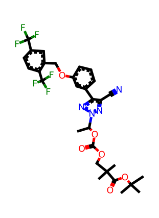 CC(OC(=O)OCC(C)(C)C(=O)OC(C)(C)C)n1nc(C#N)c(-c2cccc(OCc3cc(C(F)(F)F)ccc3C(F)(F)F)c2)n1